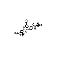 COc1ccc(NC(=O)N(Cc2ccc(C(=O)Nc3nn[nH]n3)cc2)c2ccc(C3=CCCCC3)cc2)cc1C(F)(F)F